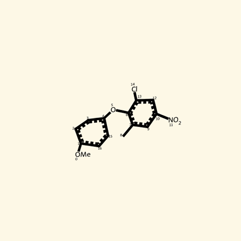 COc1ccc(Oc2c(C)cc([N+](=O)[O-])cc2Cl)cc1